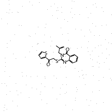 C=C(C)Cn1c(SCC(=O)c2cccs2)nc2ccccc2c1=O